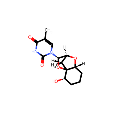 Cc1cn([C@@H]2OC34[C@H](O)CCC[C@H]3O[C@H]2[C@H]4C)c(=O)[nH]c1=O